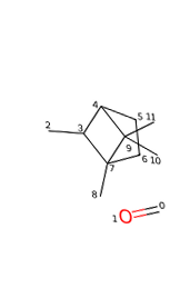 C=O.CC1C2CCC1(C)C2(C)C